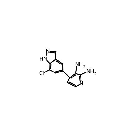 Nc1nccc(-c2cc(Cl)c3[nH]ncc3c2)c1N